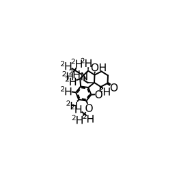 [2H]c1c([2H])c2c3c(c1OC([2H])([2H])[2H])OC1([2H])C(=O)CC[C@]4(O)[C@@]31CCN(C([2H])([2H])[2H])[C@]4([2H])C2([2H])[2H]